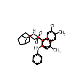 Cc1ccc(S(=O)(=O)NC2CC3CCC(C2)N3CCCN(C(=O)Nc2ccccc2)c2ccc(C)c(Cl)c2)cc1